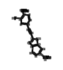 CNc1ccc(C#Cc2nc3ccc(OC)cc3s2)cc1F